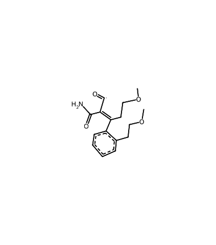 COCCC(=C([C]=O)C(N)=O)c1ccccc1CCOC